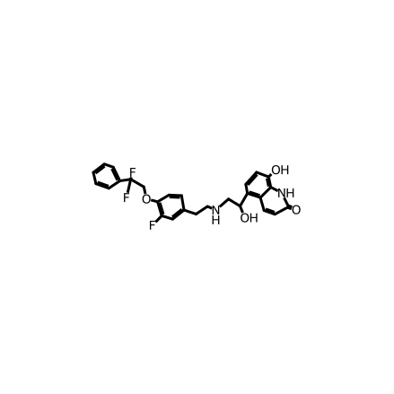 O=c1ccc2c(C(O)CNCCc3ccc(OCC(F)(F)c4ccccc4)c(F)c3)ccc(O)c2[nH]1